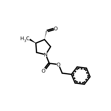 C[C@@H]1CN(C(=O)OCc2ccccc2)C[C@H]1C=O